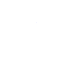 CCC1CCc2cccc(C3C(C)C(C)C4c5c(sc6ccccc56)C=CC34)c2N1